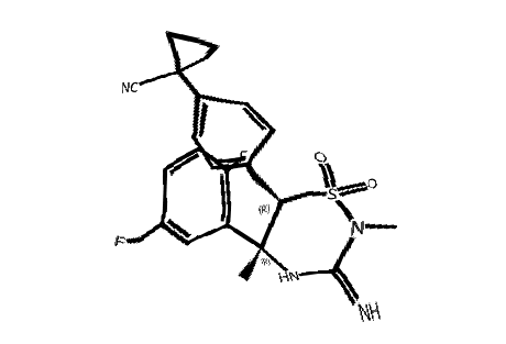 CN1C(=N)N[C@](C)(c2cc(F)ccc2F)[C@@H](c2ccc(C3(C#N)CC3)cc2)S1(=O)=O